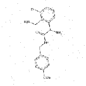 COc1ccc(CNC(=O)C(N)c2cccc(Cl)c2CN)cc1